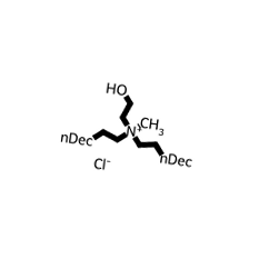 CCCCCCCCCCCC[N+](C)(CCO)CCCCCCCCCCCC.[Cl-]